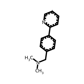 CN(C)Cc1ccc(-c2cc[c]cn2)cc1